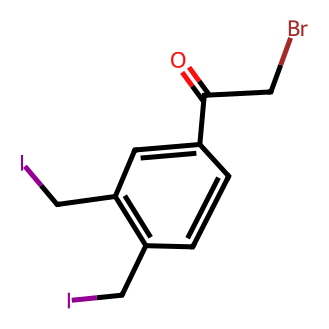 O=C(CBr)c1ccc(CI)c(CI)c1